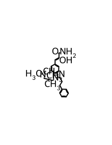 CN(C)CC(C)(C)Cn1c(CCc2ccccc2)nc2cc(C=C(O)C(N)=O)ccc21